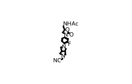 CC(=O)NCC1CN(c2ccc(N3CC4CN(CC#N)CC4C3)c(F)c2)C(=O)O1